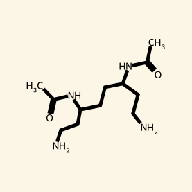 CC(=O)NC(CCN)CCC(CCN)NC(C)=O